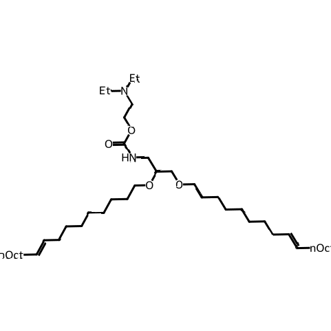 CCCCCCCCC=CCCCCCCCCOCC(CNC(=O)OCCN(CC)CC)OCCCCCCCCC=CCCCCCCCC